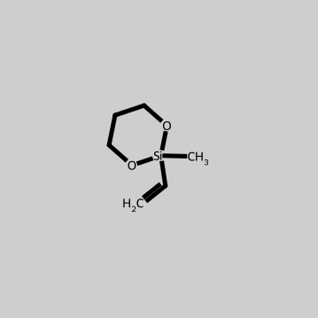 C=C[Si]1(C)OCCCO1